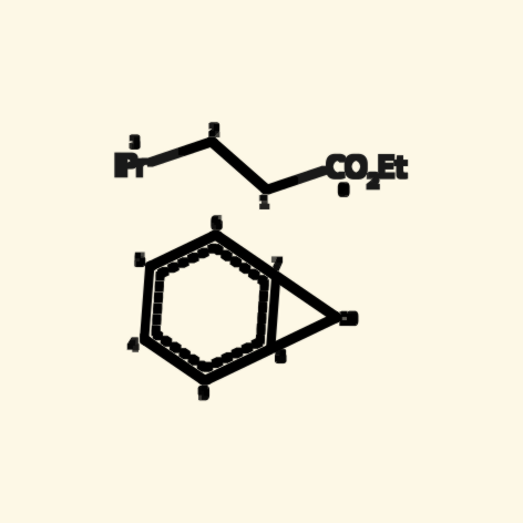 CCOC(=O)CCC(C)C.c1ccc2c(c1)C2